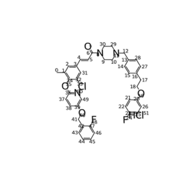 Cc1cc(C=CC(=O)N2CCN(Cc3ccc(CCOc4ccc(F)cc4)cc3)CC2)cc(Cl)c1Oc1ccc(OCc2ccccc2F)cn1.Cl